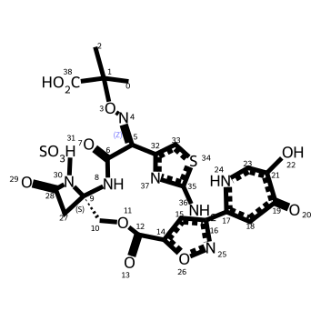 CC(C)(O/N=C(\C(=O)N[C@@]1(COC(=O)c2cc(-c3cc(=O)c(O)c[nH]3)no2)CC(=O)N1S(=O)(=O)O)c1csc(N)n1)C(=O)O